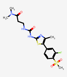 Cc1nc(NC(=O)NCCC(=O)N(C)C)sc1-c1ccc(S(C)(=O)=O)c(F)c1